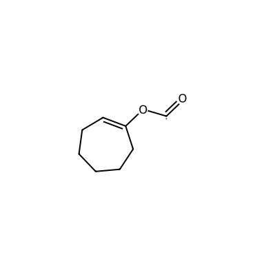 O=[C]OC1=CCCCCC1